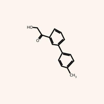 Cc1ccc(-c2cccc(C(=O)CO)c2)cc1